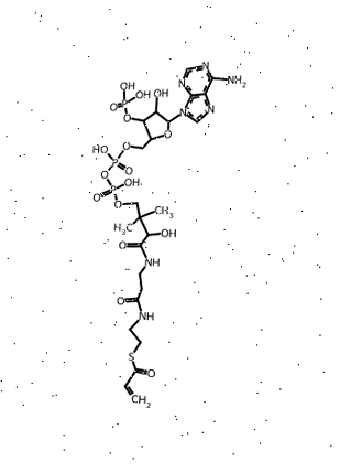 C=CC(=O)SCCNC(=O)CCNC(=O)C(O)C(C)(C)COP(=O)(O)OP(=O)(O)OCC1OC(n2cnc3c(N)ncnc32)C(O)C1OP(=O)(O)O